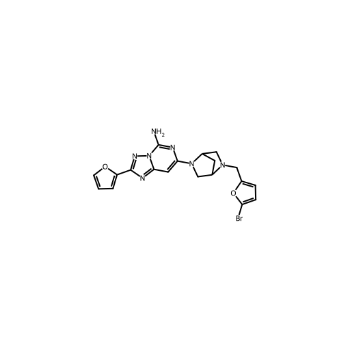 Nc1nc(N2CC3CC2CN3Cc2ccc(Br)o2)cc2nc(-c3ccco3)nn12